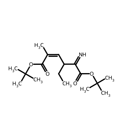 CCC(C=C(C)C(=O)OC(C)(C)C)C(=N)C(=O)OC(C)(C)C